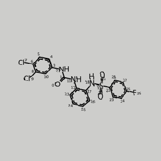 O=C(Nc1ccc(Cl)c(Cl)c1)Nc1ccccc1NS(=O)(=O)c1ccc(F)cc1